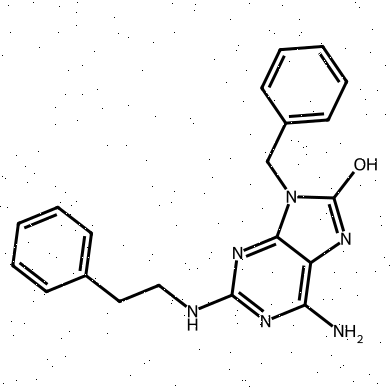 Nc1nc(NCCc2ccccc2)nc2c1nc(O)n2Cc1ccccc1